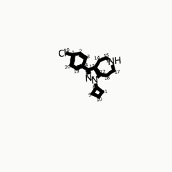 Clc1ccc(-c2nn(C3CCC3)c3c2CCNCC3)cc1